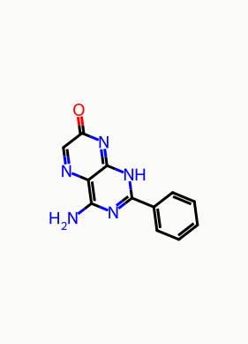 Nc1nc(-c2ccccc2)[nH]c2nc(=O)cnc1-2